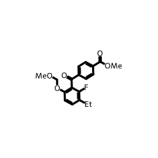 CCc1ccc(OCOC)c(C(=O)c2ccc(C(=O)OC)cc2)c1F